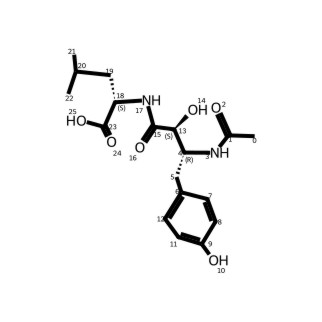 CC(=O)N[C@H](Cc1ccc(O)cc1)[C@H](O)C(=O)N[C@@H](CC(C)C)C(=O)O